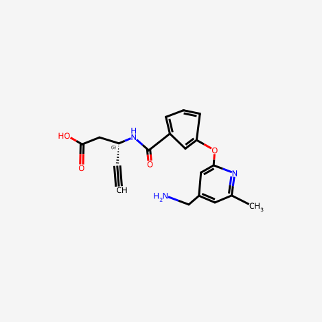 C#C[C@H](CC(=O)O)NC(=O)c1cccc(Oc2cc(CN)cc(C)n2)c1